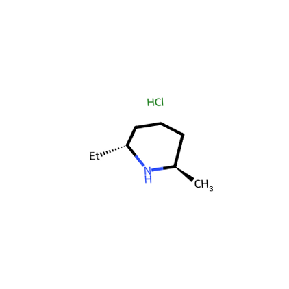 CC[C@@H]1CCC[C@@H](C)N1.Cl